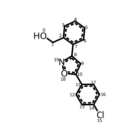 OCc1ccccc1-c1cc(-c2ccc(Cl)cc2)on1